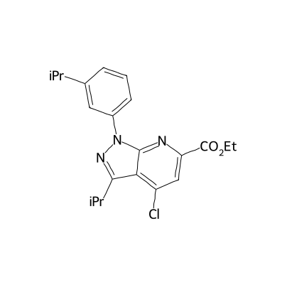 CCOC(=O)c1cc(Cl)c2c(C(C)C)nn(-c3cccc(C(C)C)c3)c2n1